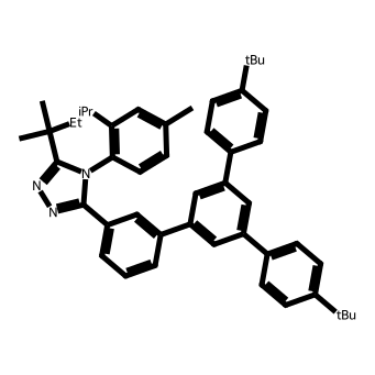 CCC(C)(C)c1nnc(-c2cccc(-c3cc(-c4ccc(C(C)(C)C)cc4)cc(-c4ccc(C(C)(C)C)cc4)c3)c2)n1-c1ccc(C)cc1C(C)C